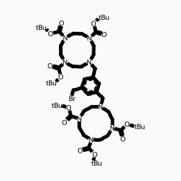 CC(C)(C)OC(=O)N1CCN(Cc2cc(CBr)cc(CN3CCN(C(=O)OC(C)(C)C)CCN(C(=O)OC(C)(C)C)CCN(C(=O)OC(C)(C)C)CC3)c2)CCN(C(=O)OC(C)(C)C)CCN(C(=O)OC(C)(C)C)CC1